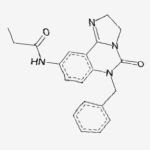 CCC(=O)Nc1ccc2c(c1)C1=NCCN1C(=O)N2Cc1ccccc1